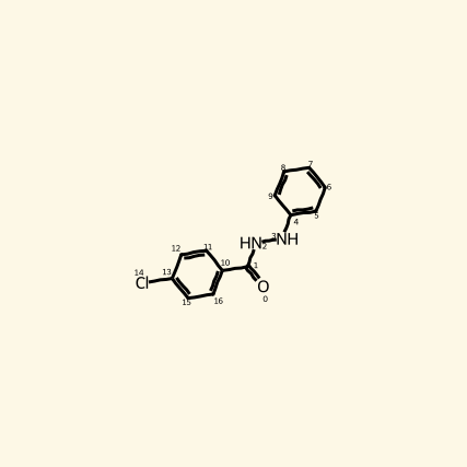 O=C(NNc1ccccc1)c1ccc(Cl)cc1